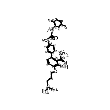 CCN(CC)CCCOc1ccc(-c2ccc(NC(=O)Nc3cc(C)ccc3F)cc2)c2c(N)n[nH]c12